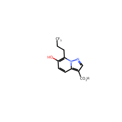 O=C(O)c1cnn2c(CCC(F)(F)F)c(O)ccc12